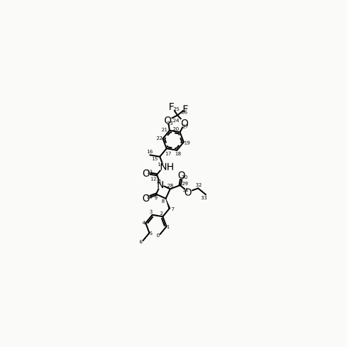 C/C=C(\C=C/CC)C[C@H]1C(=O)N(C(=O)NC(C)c2ccc3c(c2)OC(F)(F)O3)C1C(=O)OCC